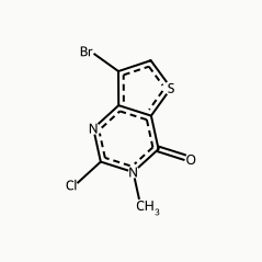 Cn1c(Cl)nc2c(Br)csc2c1=O